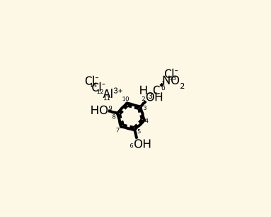 C[N+](=O)[O-].Oc1cc(O)cc(O)c1.[Al+3].[Cl-].[Cl-].[Cl-]